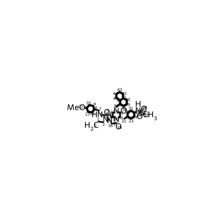 C=CCN(C(=O)NCc1ccc(OC)cc1)N1CC(=O)N2[C@@H](Cc3ccc(NS(C)(=O)=O)cc3)C(=O)N(Cc3cccc4ccccc34)C[C@@H]21